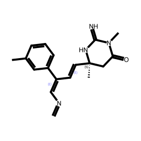 C=N/C=C(\C=C\[C@]1(C)CC(=O)N(C)C(=N)N1)c1cccc(C)c1